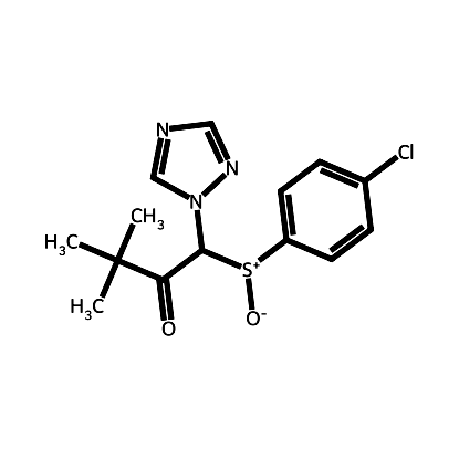 CC(C)(C)C(=O)C(n1cncn1)[S+]([O-])c1ccc(Cl)cc1